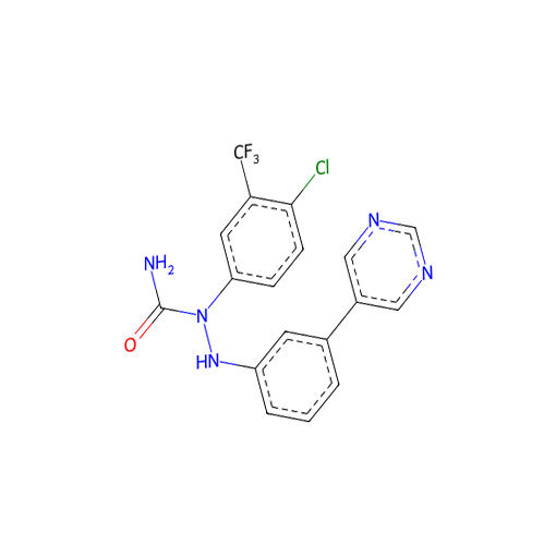 NC(=O)N(Nc1cccc(-c2cncnc2)c1)c1ccc(Cl)c(C(F)(F)F)c1